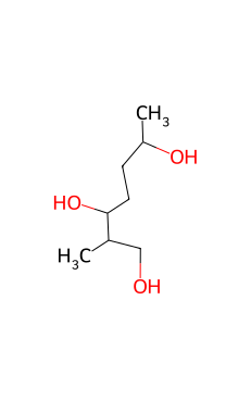 CC(O)CCC(O)C(C)CO